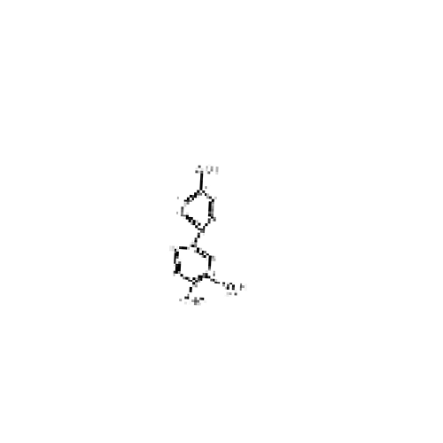 O=Cc1ccc(-c2ccc(S(=O)(=O)O)cc2)cc1S(=O)(=O)O